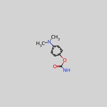 CN(C)c1ccc(OC([NH])=O)cc1